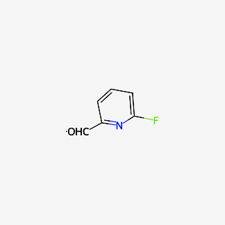 O=[C]c1cccc(F)n1